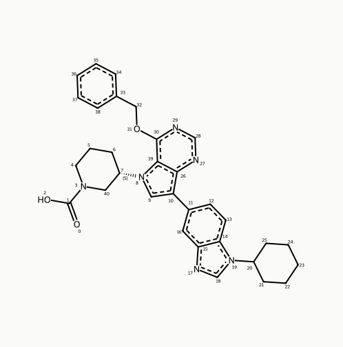 O=C(O)N1CCC[C@H](n2cc(-c3ccc4c(c3)ncn4C3CCCCC3)c3ncnc(OCc4ccccc4)c32)C1